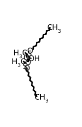 CCCCCCCCCCCCOSC(C)OP(O)OC(C)SOCCCCCCCCCCCC